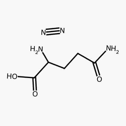 N#N.NC(=O)CCC(N)C(=O)O